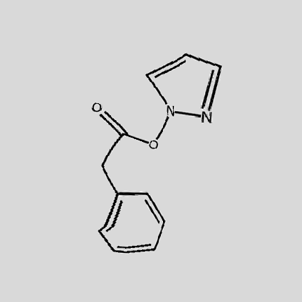 O=C(Cc1ccccc1)On1cccn1